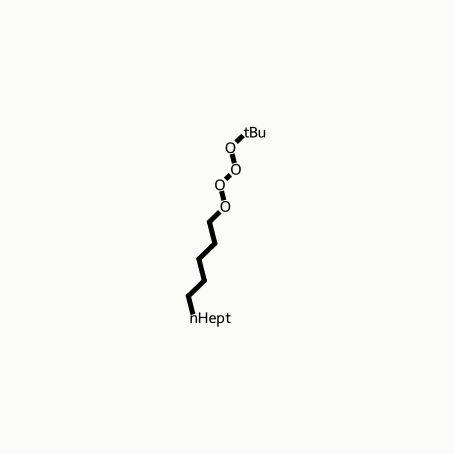 CCCCCCCCCCCCOOOOC(C)(C)C